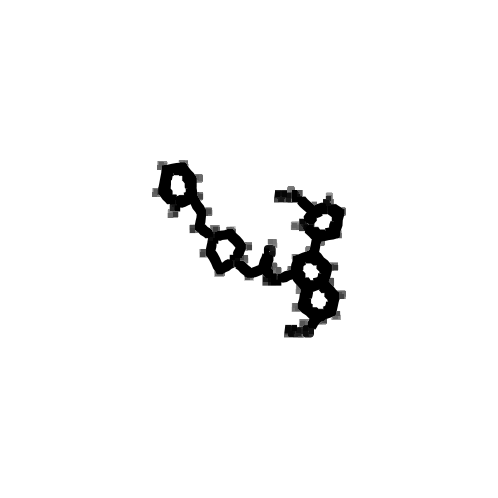 CNc1nccc(-c2cc(NC(=O)CN3CCN(CCc4ccccn4)CC3)c3cc(OC)ccc3c2)n1